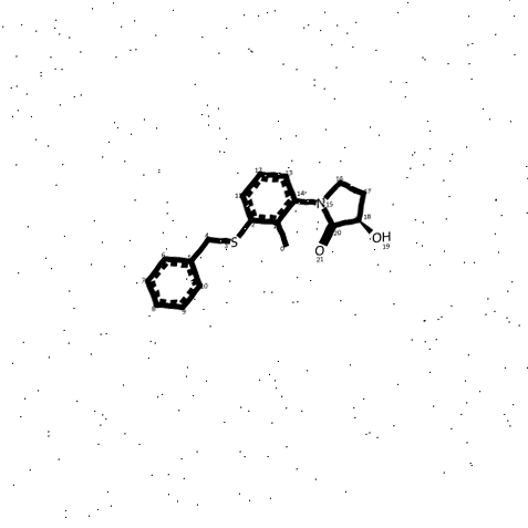 Cc1c(SCc2ccccc2)cccc1N1CC[C@@H](O)C1=O